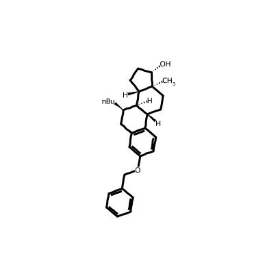 CCCC[C@@H]1Cc2cc(OCc3ccccc3)ccc2[C@H]2CC[C@]3(C)[C@@H](O)CC[C@H]3[C@H]12